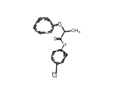 CC(Oc1ccccc1)C(=O)Oc1ccc(Cl)cc1